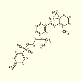 CC1=C(C=Cc2cccc(C(C)(O)CCOS(=O)(=O)c3ccc(C)cc3)c2)C(C)(C)CCC1